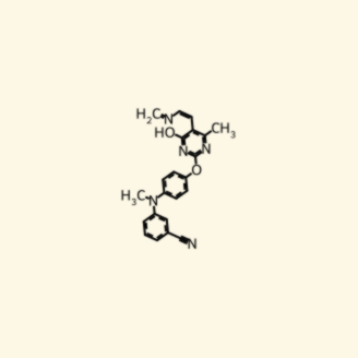 C=N/C=C\c1c(C)nc(Oc2ccc(N(C)c3cccc(C#N)c3)cc2)nc1O